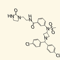 CS(=O)(=O)N(c1cccc(C(=O)NCCN2CCNC2=O)c1)C1CN(C(c2ccc(Cl)cc2)c2ccc(Cl)cc2)C1